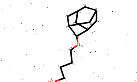 OCCCCOC1C2CC3CC(C2)CC1C3